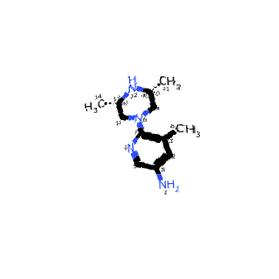 Cc1cc(N)cnc1N1C[C@@H](C)N[C@@H](C)C1